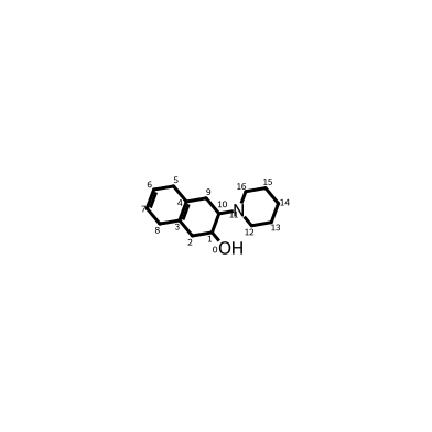 OC1CC2=C(CC=CC2)CC1N1CCCCC1